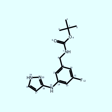 CC(C)(C)OC(=O)NCc1cc(F)cc(Nc2cc[nH]n2)c1